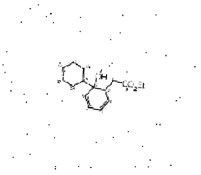 CCOC(=O)CC1C=CC=CC1(O)C1CCCCC1